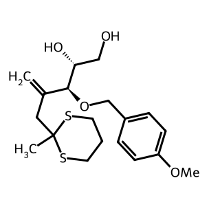 C=C(CC1(C)SCCCS1)[C@H](OCc1ccc(OC)cc1)[C@H](O)CO